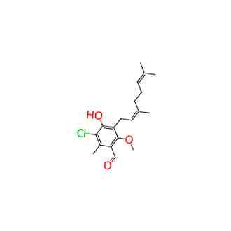 COc1c(C=O)c(C)c(Cl)c(O)c1CC=C(C)CCC=C(C)C